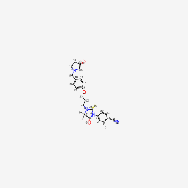 Cc1cc(N2C(=O)C(C)(C)N(CCCOc3ccc(CN4CCC(=O)C4)cc3)C2=S)ccc1C#N